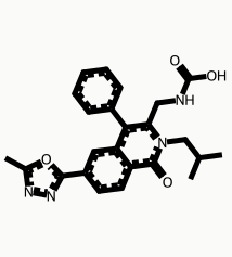 Cc1nnc(-c2ccc3c(=O)n(CC(C)C)c(CNC(=O)O)c(-c4ccccc4)c3c2)o1